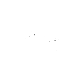 CC(C)CCC(O[SiH2]CCCC[SiH2]OC(CCC(C)C)C(C)C)C(C)C